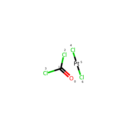 O=C(Cl)Cl.[Cl][Pt][Cl]